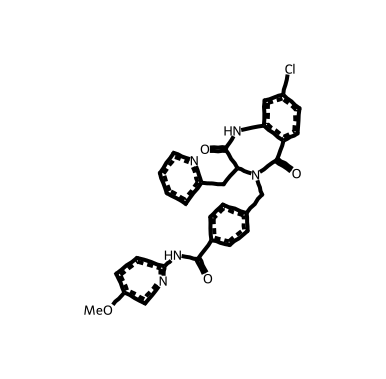 COc1ccc(NC(=O)c2ccc(CN3C(=O)c4ccc(Cl)cc4NC(=O)C3Cc3ccccn3)cc2)nc1